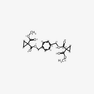 COC(=O)C1(C(=O)OCc2ccc(COC(=O)C3(C(=O)OC)CC3)cc2)CC1